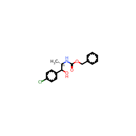 C[C@H](NC(=O)OCc1ccccc1)C(O)c1ccc(Cl)cc1